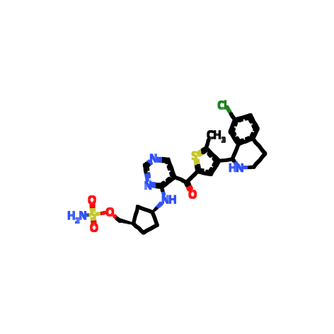 Cc1sc(C(=O)c2cncnc2N[C@H]2CC[C@@H](COS(N)(=O)=O)C2)cc1C1NCCc2ccc(Cl)cc21